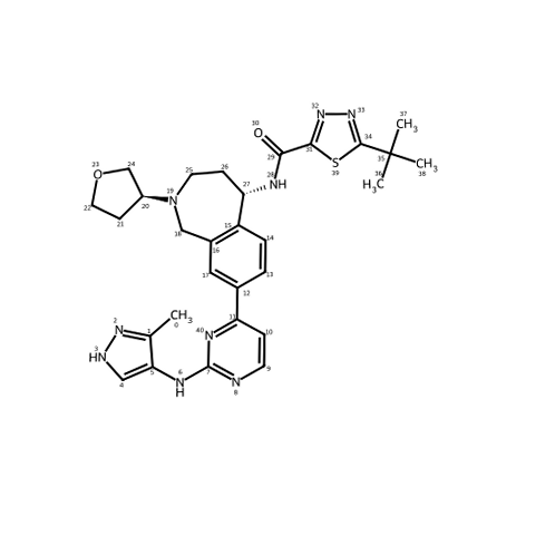 Cc1n[nH]cc1Nc1nccc(-c2ccc3c(c2)CN([C@H]2CCOC2)CC[C@@H]3NC(=O)c2nnc(C(C)(C)C)s2)n1